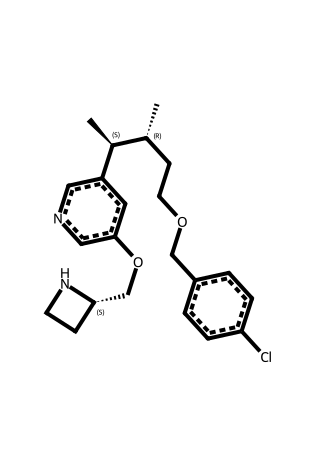 C[C@H](CCOCc1ccc(Cl)cc1)[C@H](C)c1cncc(OC[C@@H]2CCN2)c1